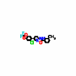 Cc1cccc(C(=O)Nc2ccc(-c3cc4c(cc3Cl)OC(F)(F)O4)cn2)c1